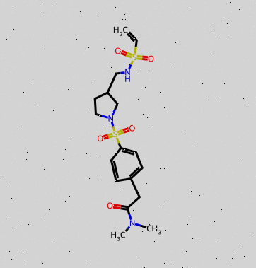 C=CS(=O)(=O)NCC1CCN(S(=O)(=O)c2ccc(CC(=O)N(C)C)cc2)C1